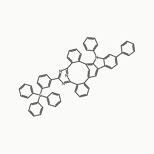 c1ccc(-c2ccc3c4cc5cc(c6ccccc6c6nc(-c7cccc([Si](c8ccccc8)(c8ccccc8)c8ccccc8)c7)nc(n6)c6ccccc56)c4n(-c4ccccc4)c3c2)cc1